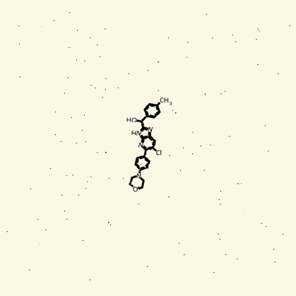 Cc1ccc(C(O)c2nc3cc(Cl)c(-c4ccc(N5CCOCC5)cc4)nc3[nH]2)cc1